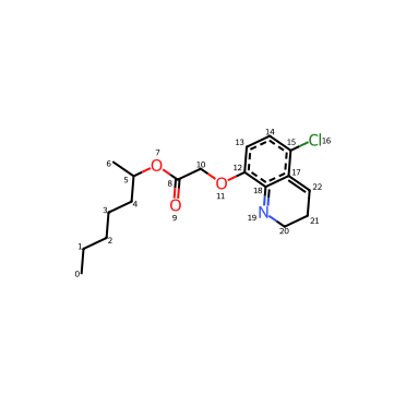 CCCCCC(C)OC(=O)COc1ccc(Cl)c2c1=NCCC=2